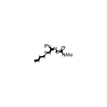 C=CCCSCC(=NOC(=O)NC)C(C)C